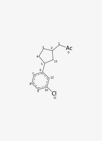 CC(=O)CC1CCC(c2cccc(Cl)c2)C1